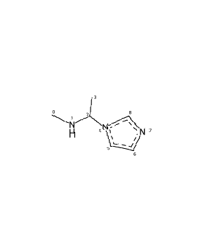 CNC(C)n1ccnc1